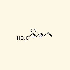 C=C/C=C/C=C(\C#N)C(=O)O